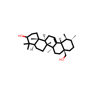 C[C@H]1[C@H](C)CC[C@]2(CO)CC[C@]3(C)C(=CC[C@@H]4[C@@]5(C)CCC(O)C(C)(C)[C@@H]5CC[C@]43C)[C@H]12